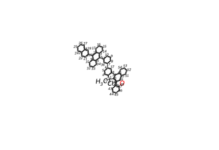 CC1(C)c2ccc(-c3cccc(-c4c5ccccc5c(-c5ccc6ccccc6c5)c5ccccc45)c3)cc2-c2c1c1c3ccccc3oc1c1ccccc21